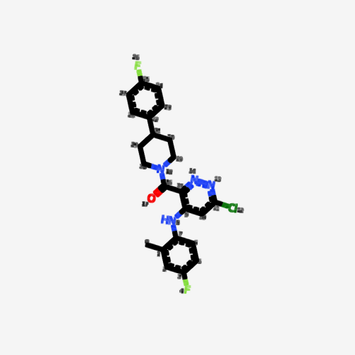 Cc1cc(F)ccc1Nc1cc(Cl)nnc1C(=O)N1CCC(c2ccc(F)cc2)CC1